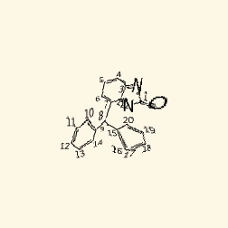 O=C1N=c2cccc(C(c3ccccc3)c3ccccc3)c2=N1